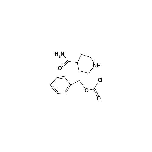 NC(=O)C1CCNCC1.O=C(Cl)OCc1ccccc1